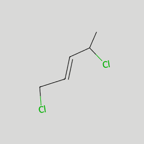 CC(Cl)C=CCCl